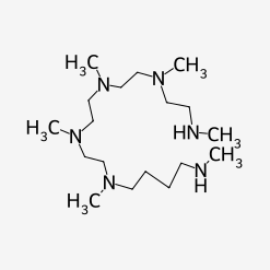 CNCCCCN(C)CCN(C)CCN(C)CCN(C)CCNC